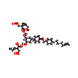 C=C(CO)C(=O)OCOc1cc(OCOC(=O)C(=C)CO)cc(-c2ccc(OCc3ccc(CCCCC)cc3)cc2)c1